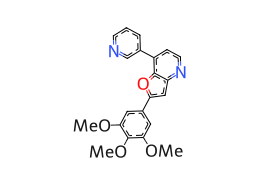 COc1cc(-c2cc3nccc(-c4cccnc4)c3o2)cc(OC)c1OC